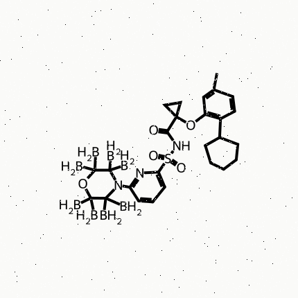 BC1(B)OC(B)(B)C(B)(B)N(c2cccc(S(=O)(=O)NC(=O)C3(Oc4cc(C)ccc4C4CCCCC4)CC3)n2)C1(B)B